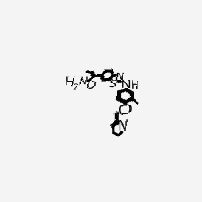 CC=C(C(N)=O)c1ccc2nc(Nc3ccc(OCc4ccccn4)c(C)c3)sc2c1